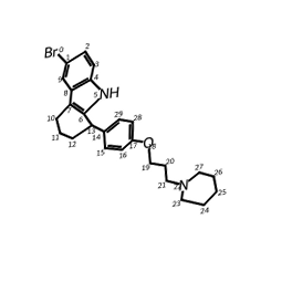 Brc1ccc2[nH]c3c(c2c1)CCCC3c1ccc(OCCCN2CCCCC2)cc1